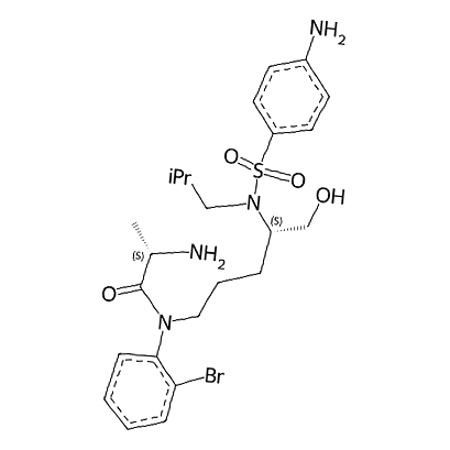 CC(C)CN([C@H](CO)CCCN(C(=O)[C@H](C)N)c1ccccc1Br)S(=O)(=O)c1ccc(N)cc1